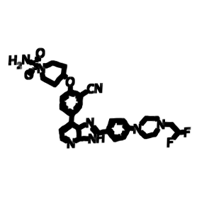 N#Cc1cc(C2=CC=NC3NC(c4ccc(N5CCN(CC(F)F)CC5)cc4)=NC23)ccc1OC1CCN(S(N)(=O)=O)CC1